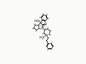 C[N+]1(CCc2ccccc2)CCCC(OC(=O)[C@](O)(c2ccccc2)C2CCCC2)C1